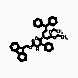 CCOC(CN(CCC(c1ccccc1)c1ccccc1)C(=O)C(NC(=O)OCC1c2ccccc2-c2ccccc21)c1ccccc1)OCC